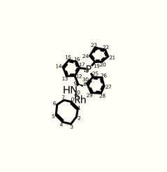 C1=C\CC/C=C\CC/1.C[C@@H]([NH][Rh])c1ccccc1P(c1ccccc1)c1ccccc1